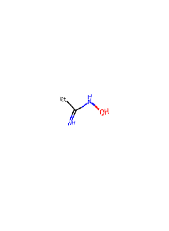 [CH2]CC(=N)NO